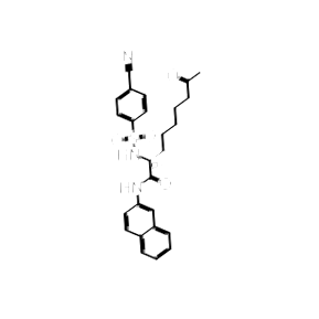 CC(=O)CCCCC[C@H](NS(=O)(=O)c1ccc(C#N)cc1)C(=O)Nc1ccc2ccccc2c1